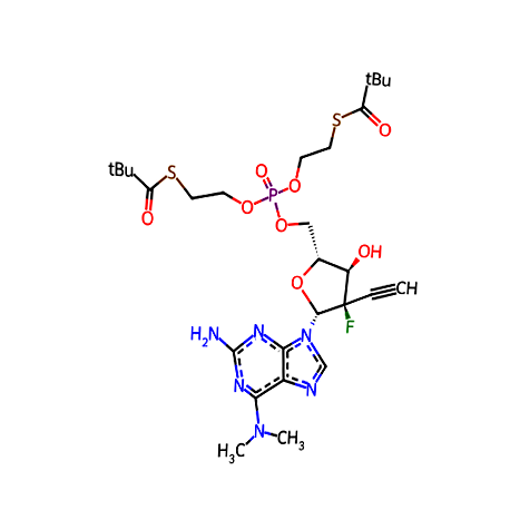 C#C[C@@]1(F)[C@H](O)[C@@H](COP(=O)(OCCSC(=O)C(C)(C)C)OCCSC(=O)C(C)(C)C)O[C@H]1n1cnc2c(N(C)C)nc(N)nc21